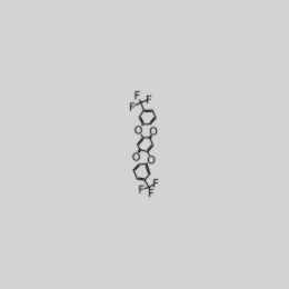 O=C1C=C(Oc2cccc(C(F)(F)F)c2)C(=O)C=C1Oc1cccc(C(F)(F)F)c1